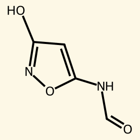 O=CNc1cc(O)no1